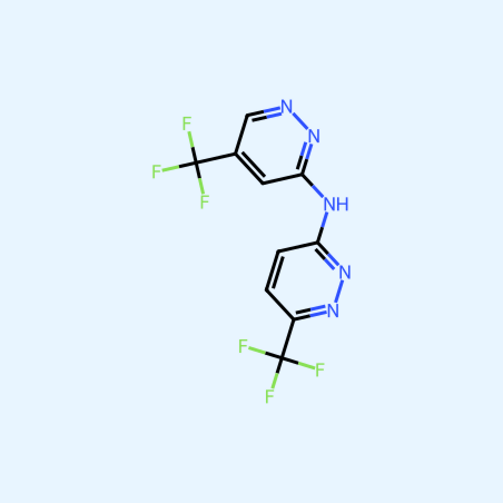 FC(F)(F)c1cnnc(Nc2ccc(C(F)(F)F)nn2)c1